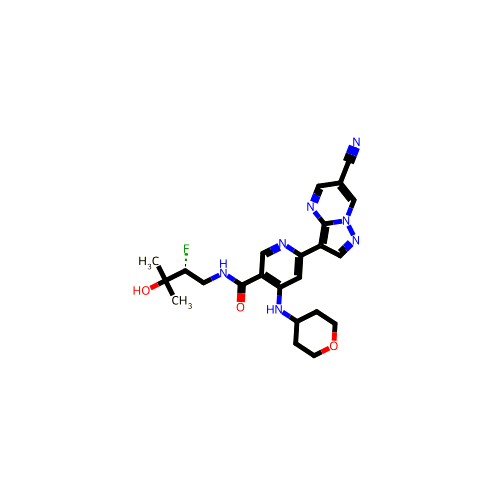 CC(C)(O)[C@H](F)CNC(=O)c1cnc(-c2cnn3cc(C#N)cnc23)cc1NC1CCOCC1